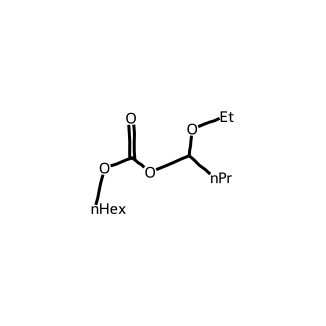 CCCCCCOC(=O)OC(CCC)OCC